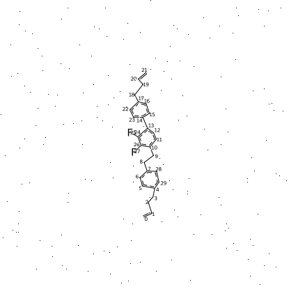 C=CCCc1ccc(CCc2ccc(-c3ccc(CCC=C)cc3)c(F)c2F)cc1